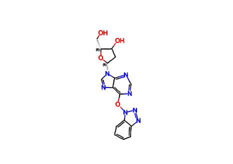 OC[C@H]1O[C@@H](n2cnc3c(On4nnc5ccccc54)ncnc32)CC1O